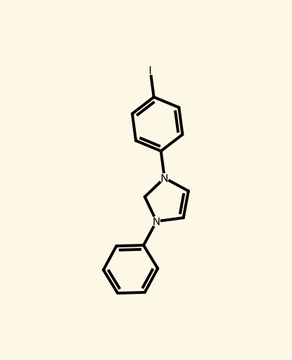 Ic1ccc(N2C=CN(c3ccccc3)C2)cc1